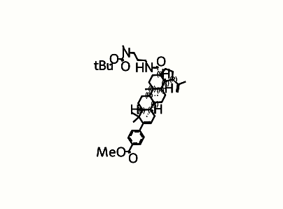 C=C(C)[C@@H]1CC[C@]2(C(=O)NCCCN(C)C(=O)OC(C)(C)C)CC[C@]3(C)[C@H](CC[C@@H]4[C@@]5(C)CC=C(c6ccc(C(=O)OC)cc6)C(C)(C)[C@@H]5CC[C@]43C)[C@@H]12